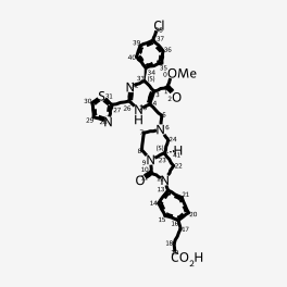 COC(=O)C1=C(CN2CCN3C(=O)N(c4ccc(CCC(=O)O)cc4)C[C@@H]3C2)NC(c2nccs2)=N[C@H]1c1ccc(Cl)cc1